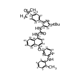 Cc1ccccc1Nc1nccc(Oc2ccc(NC(=O)Nc3cc(C(C)(C)C)nn3-c3ccc(P(C)(C)=O)cc3)c3ccccc23)n1